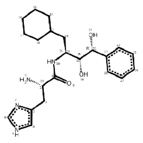 N[C@@H](Cc1c[nH]cn1)C(=O)N[C@@H](CC1CCCCC1)[C@@H](O)[C@H](O)c1ccccc1